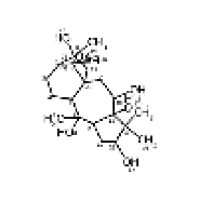 CC(=O)O[C@H]1C2CCC3C(C)(O)C4CC(O)C(C)(C)C4(O)C(O)CC31CC2(C)O